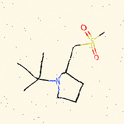 CC(C)(C)N1CCCC1CS(C)(=O)=O